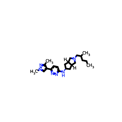 CCCC(C)CN1C[C@H]2C[C@H](Nc3ccc(-c4cn(C)nc4C)nn3)C[C@H]2C1